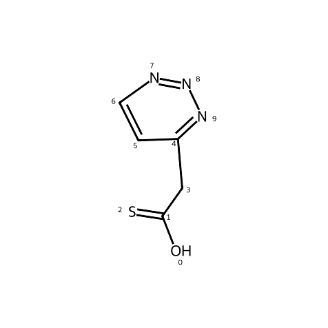 OC(=S)Cc1ccnnn1